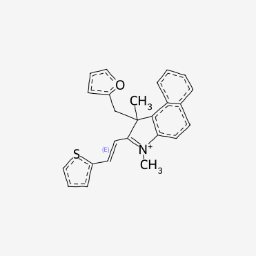 C[N+]1=C(/C=C/c2cccs2)C(C)(Cc2ccco2)c2c1ccc1ccccc21